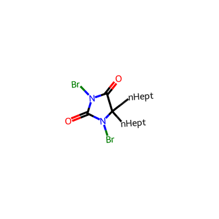 CCCCCCCC1(CCCCCCC)C(=O)N(Br)C(=O)N1Br